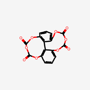 O=c1oc(=O)oc2cccc3oc(=O)oc(=O)oc4cccc(o1)c4c23